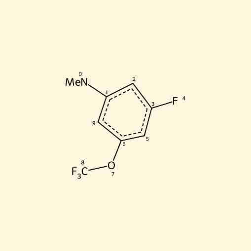 CNc1cc(F)cc(OC(F)(F)F)c1